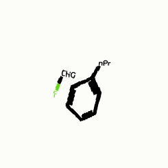 CCCc1ccccc1.O=CF